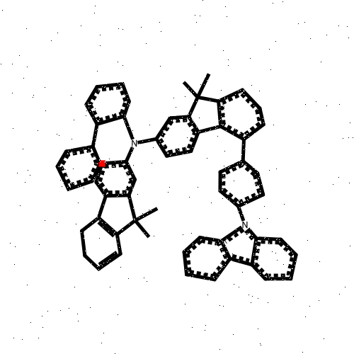 CC1(C)C2=C(CCC=C2)c2ccc(N(c3ccc4c(c3)C(C)(C)c3cccc(-c5ccc(-n6c7ccccc7c7ccccc76)cc5)c3-4)c3ccccc3-c3ccccc3)cc21